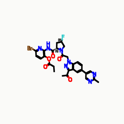 CCC(=O)Oc1ccc(Br)nc1NC(=O)[C@@H]1C[C@@H](F)CN1C(=O)Cn1nc(C(C)=O)c2cc(-c3cnc(C)nc3)ccc21